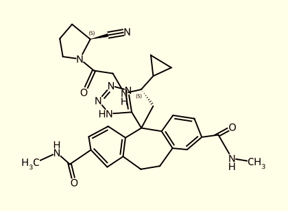 CNC(=O)c1ccc2c(c1)CCc1cc(C(=O)NC)ccc1C2(C[C@H](NCC(=O)N1CCC[C@H]1C#N)C1CC1)c1nnn[nH]1